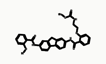 CCOc1ccccc1C(=O)Nc1ccc2c(c1)Cc1cc(NC(=O)c3ccccc3OCCNC(=O)OC(C)(C)C)ccc1-2